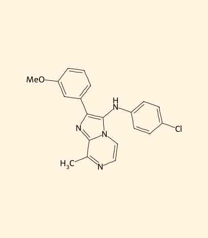 COc1cccc(-c2nc3c(C)nccn3c2Nc2ccc(Cl)cc2)c1